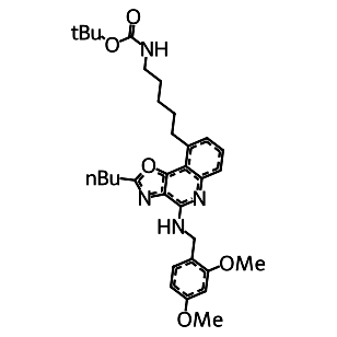 CCCCc1nc2c(NCc3ccc(OC)cc3OC)nc3cccc(CCCCCNC(=O)OC(C)(C)C)c3c2o1